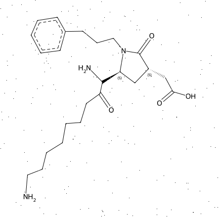 NCCCCCCCC(=O)C(N)[C@@H]1C[C@@H](CC(=O)O)C(=O)N1CCCc1ccccc1